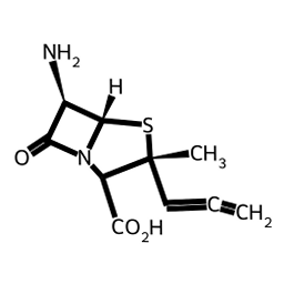 C=C=C[C@@]1(C)S[C@H]2[C@H](N)C(=O)N2C1C(=O)O